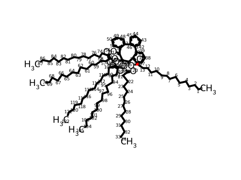 CCCCCCCCCCCCCCC(=O)OC1(OC(=O)CCCCCCCCCCCCCC)c2ccccc2-c2ccccc2-c2ccccc2C(OC(=O)CCCCCCCCCCCCCC)(OC(=O)CCCCCCCCCCCCCC)C1(OC(=O)CCCCCCCCCCCCCC)OC(=O)CCCCCCCCCCCCCC